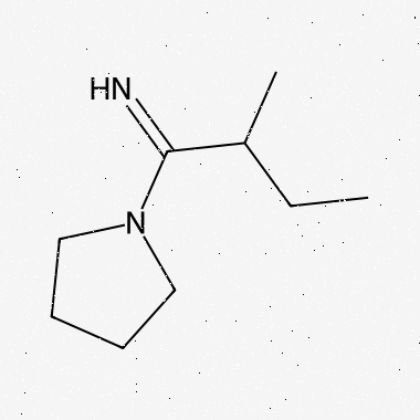 CCC(C)C(=N)N1CCCC1